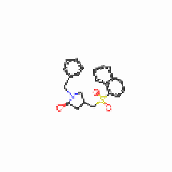 O=C1CC(CS(=O)(=O)c2cccc3ccccc23)CN1Cc1ccccc1